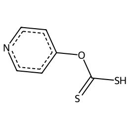 S=C(S)Oc1ccncc1